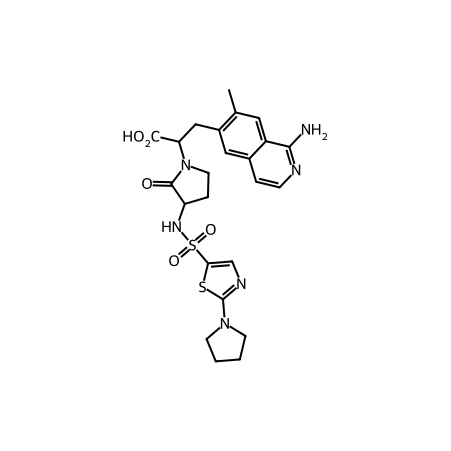 Cc1cc2c(N)nccc2cc1CC(C(=O)O)N1CCC(NS(=O)(=O)c2cnc(N3CCCC3)s2)C1=O